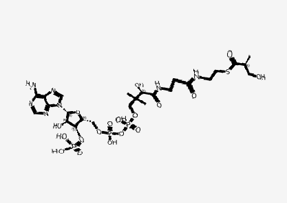 C[C@@H](CO)C(=O)SCCNC(=O)CCNC(=O)[C@H](O)C(C)(C)COP(=O)(O)OP(=O)(O)OC[C@H]1O[C@@H](n2cnc3c(N)ncnc32)[C@H](O)[C@@H]1OP(=O)(O)O